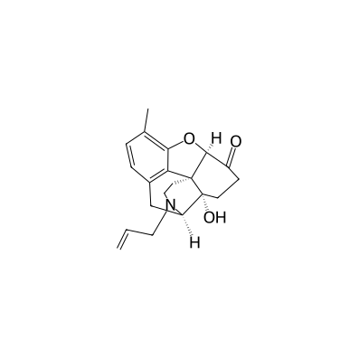 C=CCN1CC[C@]23c4c5ccc(C)c4O[C@H]2C(=O)CC[C@@]3(O)[C@H]1C5